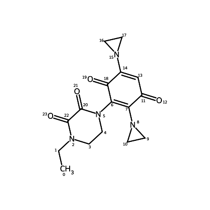 CCN1CCN(C2=C(N3CC3)C(=O)C=C(N3CC3)C2=O)C(=O)C1=O